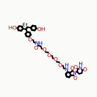 CCC(=C(c1ccc(O)cc1)c1ccc(OCCNC(=O)CCOCCOCCOCCOCCNc2cccc3c2C(=O)N(C2CCC(=O)NC2=O)C3=O)cc1)c1ccc(O)cc1